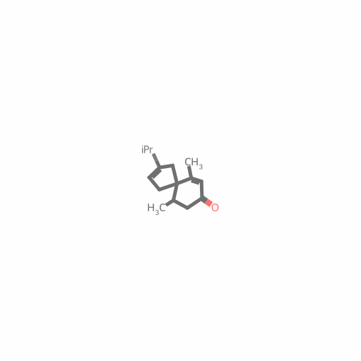 CC1=CC(=O)CC(C)C12CC=C(C(C)C)C2